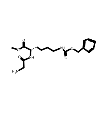 COC(=O)[C@H](CCCCNC(=O)OCc1ccccc1)NC(=O)CN